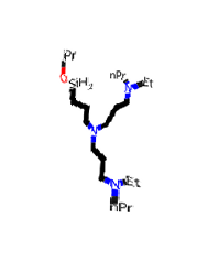 CCCN(CC)CCCN(CCC[SiH2]OC(C)C)CCCN(CC)CCC